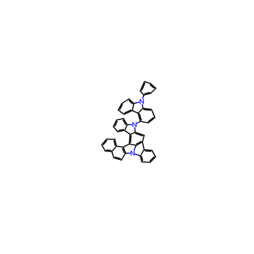 c1ccc(-n2c3ccccc3c3c(-n4c5ccccc5c5c6c7c8ccccc8ccc7n7c8ccccc8c(cc54)c67)cccc32)cc1